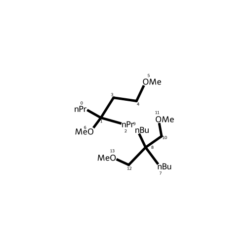 CCCC(CCC)(CCOC)OC.CCCCC(CCCC)(COC)COC